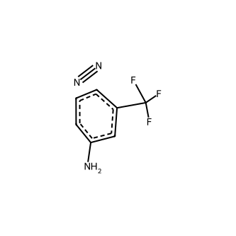 N#N.Nc1cccc(C(F)(F)F)c1